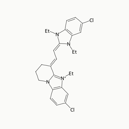 CCN1C(=CC=C2CCCn3c2[n+](CC)c2cc(Cl)ccc23)N(CC)c2cc(Cl)ccc21